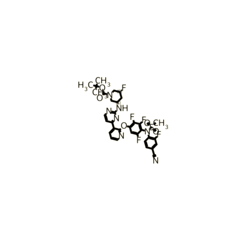 CC(C)(C)OC(=O)N1C[C@@H](F)C[C@H](Nc2nccc(-c3cccnc3Oc3cc(F)c(N(c4ccc(C#N)cc4F)S(C)(=O)=O)c(F)c3F)n2)C1